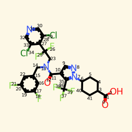 O=C(O)C1CCC(n2ncc(C(=O)N(Cc3cc(F)cc(F)c3)CC(F)(F)c3c(Cl)cncc3Cl)c2C(F)(F)F)CC1